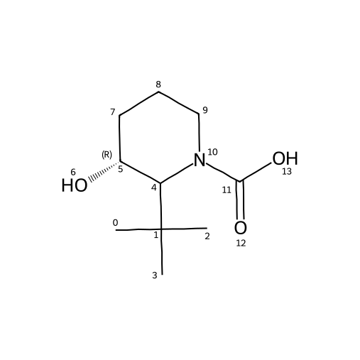 CC(C)(C)C1[C@H](O)CCCN1C(=O)O